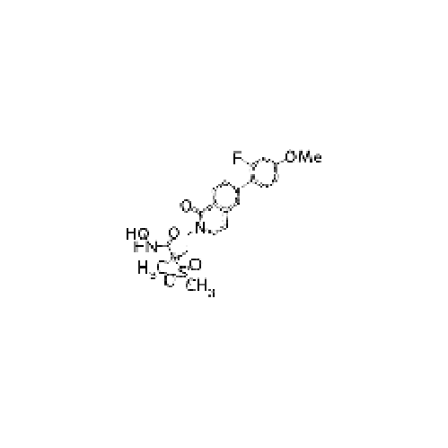 COc1ccc(-c2ccc3c(=O)n(CC[C@](C)(C(=O)NO)S(C)(=O)=O)ccc3c2)c(F)c1